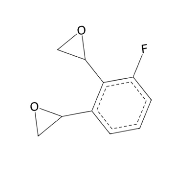 Fc1cccc(C2CO2)c1C1CO1